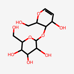 OCC1OC(OC2C(O)C=COC2CO)C(O)C(O)C1O